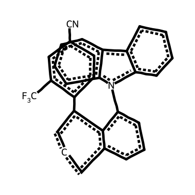 N#Cc1ccc(-c2cccc3cccc(-n4c5ccccc5c5ccccc54)c23)c(C(F)(F)F)c1